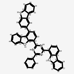 c1ccc(-c2nc(-c3cccc4c3oc3ccccc34)nc(-c3ccc(-c4ccc5sc6ccccc6c5c4)c4c3oc3ccccc34)n2)cc1